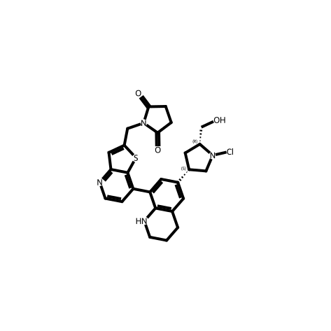 O=C1CCC(=O)N1Cc1cc2nccc(-c3cc([C@@H]4C[C@H](CO)N(Cl)C4)cc4c3NCCC4)c2s1